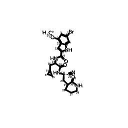 COc1cc(Br)cc2[nH]c(C(=O)NC(CC3CC3)C(=O)N[C@H](C#N)CC3CCCNC3=O)cc12